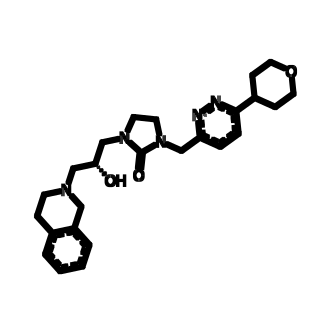 O=C1N(Cc2ccc(C3CCOCC3)nn2)CCN1C[C@H](O)CN1CCc2ccccc2C1